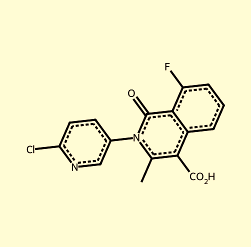 Cc1c(C(=O)O)c2cccc(F)c2c(=O)n1-c1ccc(Cl)nc1